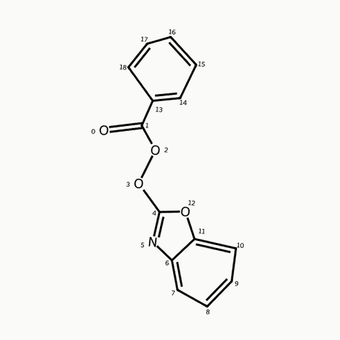 O=C(OOc1nc2ccccc2o1)c1ccccc1